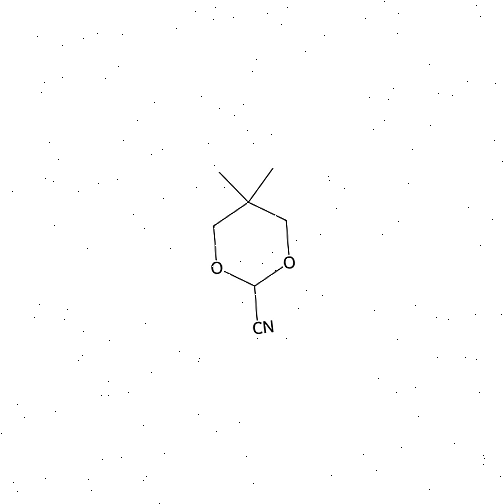 CC1(C)COC(C#N)OC1